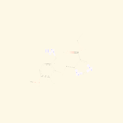 CCOC(=O)c1cncnc1CSc1c(CN)ccc(OC)c1Cl